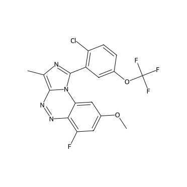 COc1cc(F)c2nnc3c(C)nc(-c4cc(OC(F)(F)F)ccc4Cl)n3c2c1